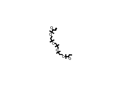 C=CC(=O)C(C)(C)OCCC(C)(C)OCC(C)(C)COC(C)(C)CCOC(C)(C)C(=O)C=C